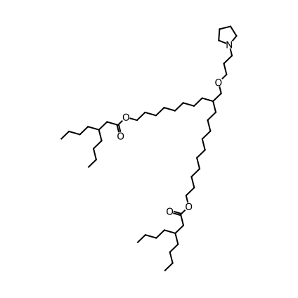 CCCCC(CCCC)CC(=O)OCCCCCCCCCCC(CCCCCCCCOC(=O)CC(CCCC)CCCC)COCCCN1CCCC1